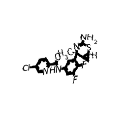 C[C@]1(c2cc(NC(=O)c3ccc(Cl)cn3)cc(F)c2F)N=C(N)S[C@H]2C=C21